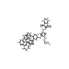 CCCc1nc(CCN2C(=O)c3ccccc3C2=O)cn1Cc1ccc(-c2ccccc2-c2nnnn2C(c2ccccc2)(c2ccccc2)c2ccccc2)cc1